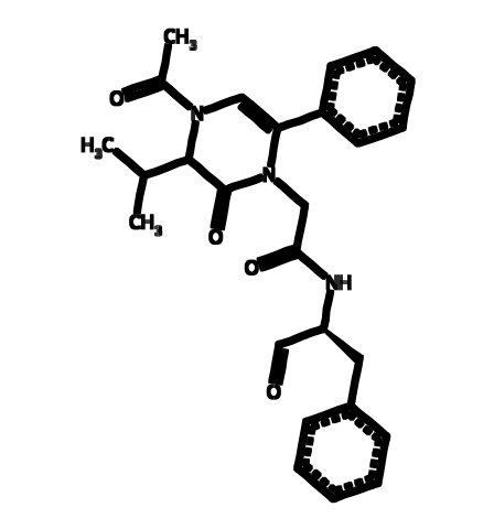 CC(=O)N1C=C(c2ccccc2)N(CC(=O)N[C@H](C=O)Cc2ccccc2)C(=O)C1C(C)C